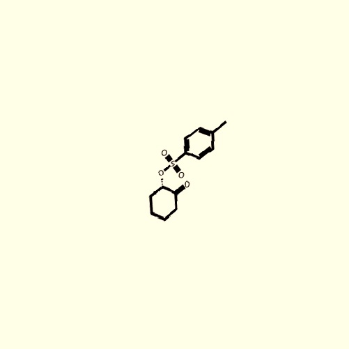 Cc1ccc(S(=O)(=O)O[C@H]2CCCCC2=O)cc1